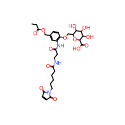 CCC(=O)OCc1ccc(OCC2OC(C(=O)O)C(O)C(O)C2O)c(NC(=O)CCNC(=O)CCCCCN2C(=O)C=CC2=O)c1